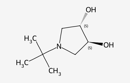 CC(C)(C)N1C[C@H](O)[C@@H](O)C1